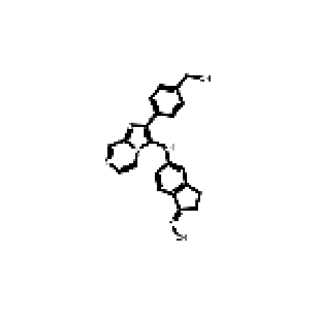 OCc1ccc(-c2nc3cnccn3c2Nc2ccc3c(c2)CCC3=NO)cc1